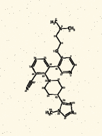 CN(C)CCOc1ccncc1-c1cccc(C#N)c1N1CCC(c2nncn2C)CC1